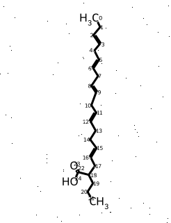 CCC=CCC=CCC=CCC=CCCC=CCC(CCC)C(=O)O